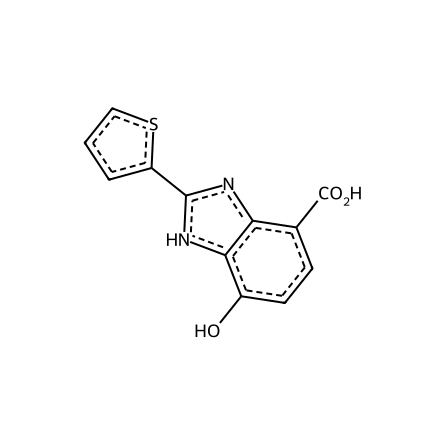 O=C(O)c1ccc(O)c2[nH]c(-c3cccs3)nc12